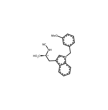 COc1cccc(Cn2cc(C[C@H](NC#N)C(=O)O)c3ccccc32)c1